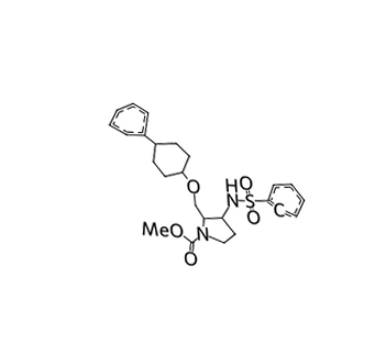 COC(=O)N1CCC(NS(=O)(=O)c2ccccc2)C1COC1CCC(c2ccccc2)CC1